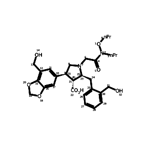 CCCON(CCC)C(=O)CN1C[C@H](c2cc(CO)c3c(c2)OCO3)[C@@H](C(=O)O)[C@@H]1Cc1ccccc1CO